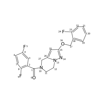 O=C(c1cc(F)ccc1F)N1CCn2nc(OCc3ccccc3F)cc2C1